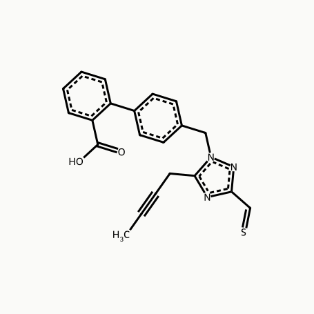 CC#CCc1nc(C=S)nn1Cc1ccc(-c2ccccc2C(=O)O)cc1